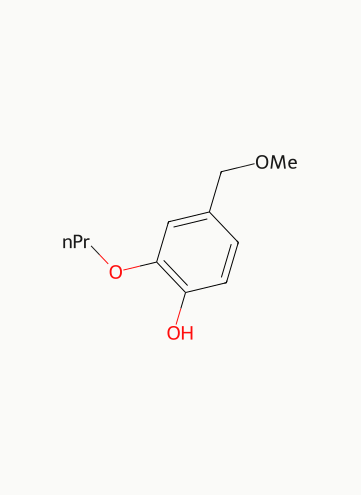 CCCOc1cc(COC)ccc1O